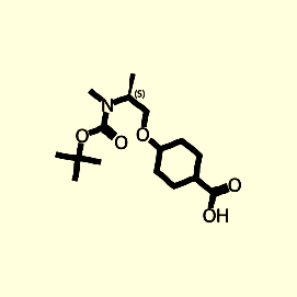 C[C@@H](COC1CCC(C(=O)O)CC1)N(C)C(=O)OC(C)(C)C